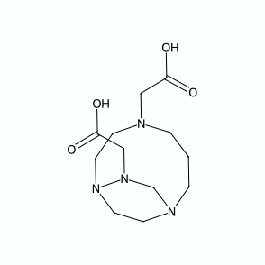 O=C(O)CN1CCCN2CCN(CC1)N(CC(=O)O)C2